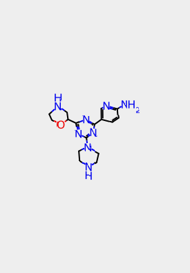 Nc1ccc(-c2nc(C3CNCCO3)nc(N3CCNCC3)n2)cn1